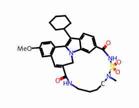 COc1ccc2c(c1)C=C1Cn3c-2c(C2CCCCC2)c2ccc(cc23)C(=O)NS(=O)(=O)N(C)CCCCNC1=O